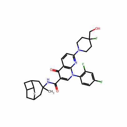 CC1(NC(=O)c2cn(-c3ccc(F)cc3F)c3nc(N4CCC(F)(CO)CC4)ccc3c2=O)CC2CC3CC(C1)C3C2